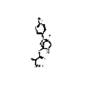 CCCCCC(C)C(=O)OC12C[C@H](CN1)N(c1ccc(N)nc1)C2